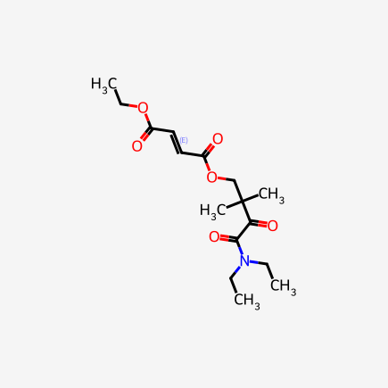 CCOC(=O)/C=C/C(=O)OCC(C)(C)C(=O)C(=O)N(CC)CC